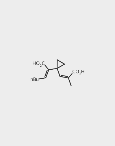 CCCCC=C(C(=O)O)C1(C=C(C)C(=O)O)CC1